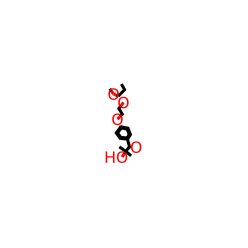 CCC(OC)OCCOc1ccc(C(=O)C(C)(C)O)cc1